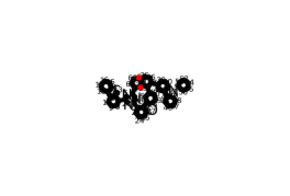 c1ccc(-c2nc(-c3cccc4c3sc3ccccc34)nc(-c3cccc4oc5ccc(-c6ccccc6-c6ccc7c(c6)c6ccccc6n7-c6ccccc6)cc5c34)n2)cc1